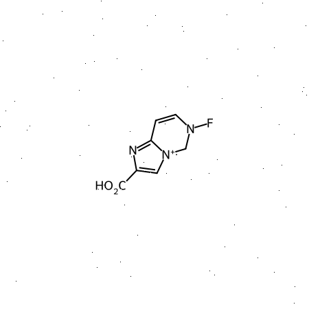 O=C(O)C1=C[N+]2CN(F)C=CC2=N1